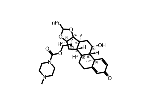 CCCC1O[C@@H]2C[C@H]3[C@@H]4CCC5=CC(=O)C=C[C@]5(C)[C@H]4[C@@H](O)C[C@]3(C)[C@]2(C(=O)COC(=O)N2CCN(C)CC2)O1